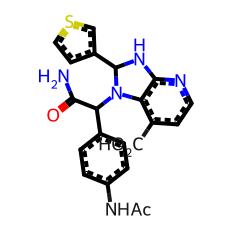 CC(=O)Nc1ccc(C(C(N)=O)N2c3c(C(=O)O)ccnc3NC2c2ccsc2)cc1